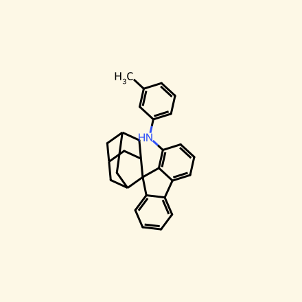 Cc1cccc(Nc2cccc3c2C2(c4ccccc4-3)C3CC4CC(C3)CC2C4)c1